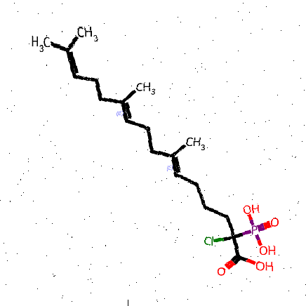 CC(C)=CCC/C(C)=C/CC/C(C)=C/CCCC(Cl)(C(=O)O)P(=O)(O)O